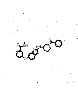 CNC(=O)c1cc(Oc2ccc3nc(NC4CCCN(C(=O)c5ccccc5)C4)sc3c2)ccn1